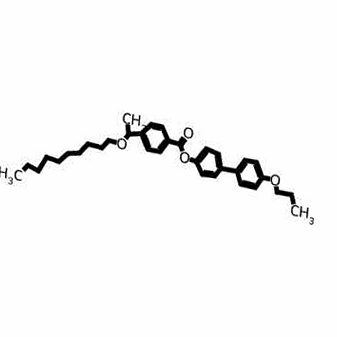 CCCCCCCCCCOC(C)c1ccc(C(=O)Oc2ccc(-c3ccc(OCCC)cc3)cc2)cc1